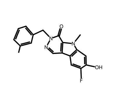 Cc1cccc(Cn2ncc3c4cc(F)c(O)cc4n(C)c3c2=O)c1